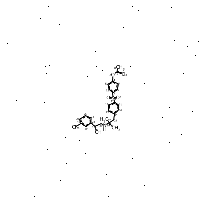 CC(=O)Oc1ccc(S(=O)(=O)c2ccc(CC(C)(C)NC[C@@H](O)c3cccc(Cl)c3)cc2)cc1